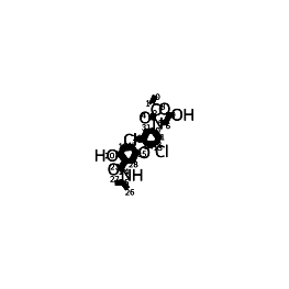 CCOC(=O)N(CC(=O)O)c1cc(Cl)c(Oc2ccc(O)c(C(=O)NC(C)C)c2)c(Cl)c1